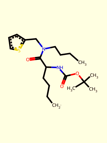 [CH2]CCCC(NC(=O)OC(C)(C)C)C(=O)N(CCCC)Cc1cccs1